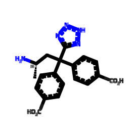 C[C@H](N)CC(c1ccc(C(=O)O)cc1)(c1ccc(C(=O)O)cc1)c1nn[nH]n1